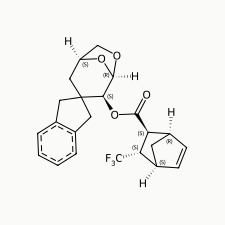 O=C(O[C@@H]1[C@@H]2OC[C@H](CC13Cc1ccccc1C3)O2)[C@@H]1[C@@H](C(F)(F)F)[C@@H]2C=C[C@H]1C2